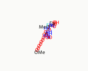 CC[C@@]1(O)C(=O)OCc2c1cc1n(c2=O)Cc2cc3c(CNC(=O)CCCNC(=O)[C@H](CCC(=O)NCCOCCOCCOCCOCCOCCOCCOCCOC)NC(=O)CCCN4C(=O)C=CC4=O)c(OC)c(F)cc3nc2-1